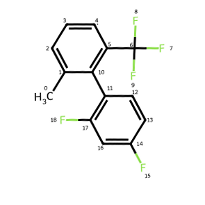 Cc1cc[c]c(C(F)(F)F)c1-c1ccc(F)cc1F